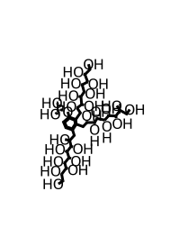 OCC(O)C(O)C(O)C(O)C(O)C(O)C(O)Cc1ccc(OP(O)O)c(CC(O)C(O)C(O)C(O)C(O)C(O)C(O)CO)c1CC(O)C(O)C(O)C(O)C(O)C(O)C(O)CO